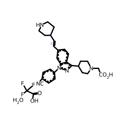 N#Cc1ccc(-n2nc(C3CCN(CC(=O)O)CC3)c3ccc(/C=C/C4CCNCC4)cc32)cc1.O.O=C(O)C(F)(F)F